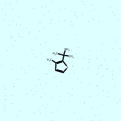 Cc1ccsc1C(C)(C)N